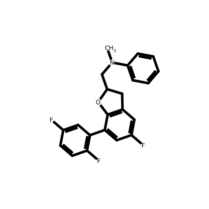 CN(CC1Cc2cc(F)cc(-c3cc(F)ccc3F)c2O1)c1ccccc1